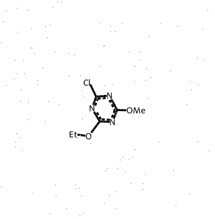 CCOc1nc(Cl)nc(OC)n1